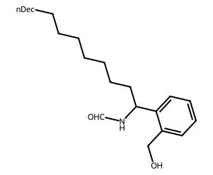 CCCCCCCCCCCCCCCCCC(NC=O)c1ccccc1CO